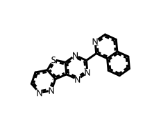 c1ccc2c(-c3nnc4c(n3)sc3ccnnc34)nccc2c1